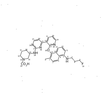 Cc1ccc2c(NCCCF)cccc2c1Oc1ncccc1-c1ccnc(NC2CCCN(C(=O)O)C2)n1